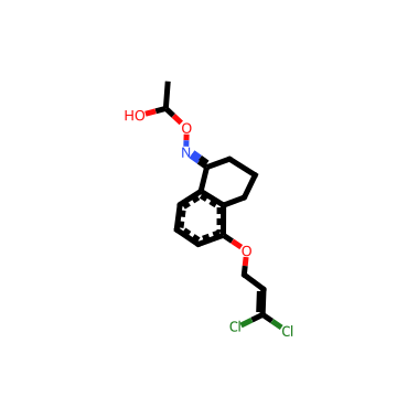 CC(O)ON=C1CCCc2c(OCC=C(Cl)Cl)cccc21